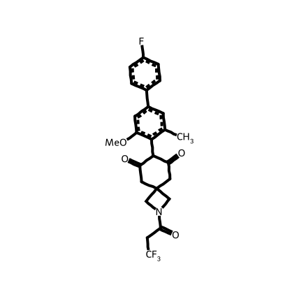 COc1cc(-c2ccc(F)cc2)cc(C)c1C1C(=O)CC2(CC1=O)CN(C(=O)CC(F)(F)F)C2